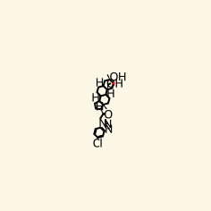 C[C@@]1(O)CC[C@@]2(CO)[C@@H](CC[C@H]3[C@@H]4CC[C@H](C(=O)Cn5nnc6cc(Cl)ccc65)[C@@]4(C)CC[C@@H]32)C1